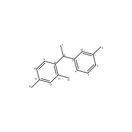 Cc1cccc(C(C)c2ccc(C)cc2C)c1